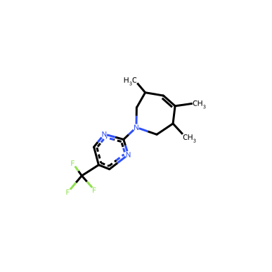 CC1=CC(C)CN(c2ncc(C(F)(F)F)cn2)CC1C